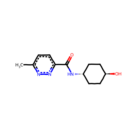 Cc1ccc(C(=O)N[C@H]2CC[C@H](O)CC2)nn1